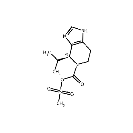 CC(C)[C@H]1c2nc[nH]c2CCN1C(=O)OS(C)(=O)=O